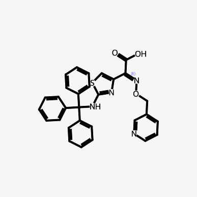 O=C(O)/C(=N/OCc1cccnc1)c1csc(NC(c2ccccc2)(c2ccccc2)c2ccccc2)n1